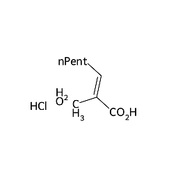 CCCCCC=C(C)C(=O)O.Cl.O